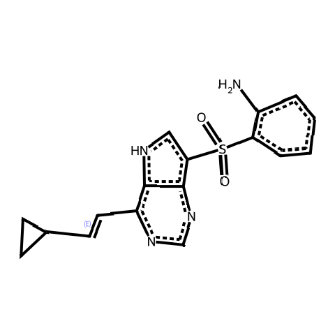 Nc1ccccc1S(=O)(=O)c1c[nH]c2c(/C=C/C3CC3)ncnc12